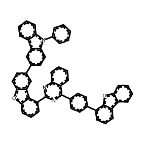 c1ccc(-n2c3ccccc3c3cc(-c4ccc5oc6cccc(-c7nc(-c8ccc(-c9cccc%10c9oc9ccccc9%10)cc8)c8ccccc8n7)c6c5c4)ccc32)cc1